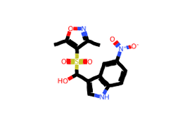 Cc1noc(C)c1S(=O)(=O)C(O)c1c[nH]c2ccc([N+](=O)[O-])cc12